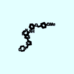 COc1ccc(COc2cccc(Nc3ncnc4cc(-c5ccc(CN6CCOCC6)s5)sc34)c2)cc1